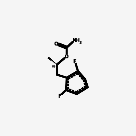 C[C@@H](Cc1c(F)cccc1F)OC(N)=O